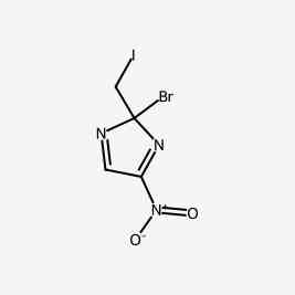 O=[N+]([O-])C1=NC(Br)(CI)N=C1